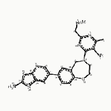 CC(=O)NCc1nc(C)c(C(C)C)c(N2CCOc3ccc(-c4cnc5sc(N)nc5c4)cc3C2)n1